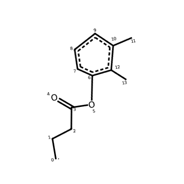 [CH2]CCC(=O)Oc1cccc(C)c1C